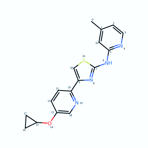 Cc1ccnc(Nc2nc(-c3ccc(OC4CC4)cn3)cs2)c1